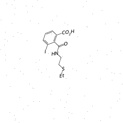 CCSCCNC(=O)c1c(I)cccc1C(=O)O